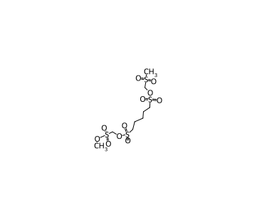 COS(=O)(=O)COS(=O)(=O)CCCCCS(=O)(=O)OCS(C)(=O)=O